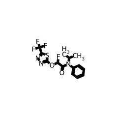 CC(C)N(C(=O)C(F)Oc1nnc(C(F)(F)F)s1)c1ccccc1